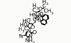 CC(C)OC(=O)[C@@H](C)NP(=O)(OC[C@H]1OC(n2cc(Br)c(N)nc2=O)[C@](C)(O)[C@@H]1O)Oc1cccc2ccccc12